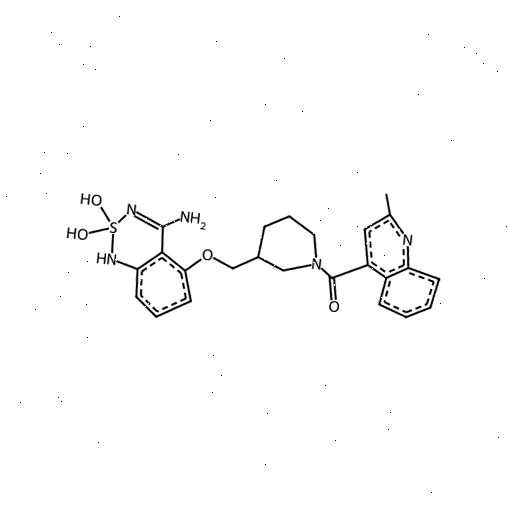 Cc1cc(C(=O)N2CCCC(COc3cccc4c3C(N)=NS(O)(O)N4)C2)c2ccccc2n1